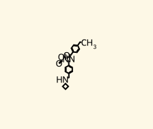 CCc1ccc(-c2nc(-c3ccc(CNC4CCC4)cc3)no2)cc1.O=CO